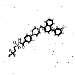 O=C(NS(=O)(=O)CCC(F)(F)F)c1ccc(N2CCN(Cc3ccc(-c4cccc(O)c4)c4ccccc34)CC2)cc1